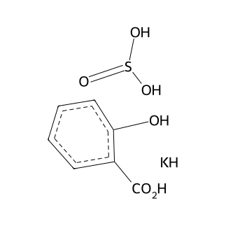 O=C(O)c1ccccc1O.O=S(O)O.[KH]